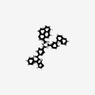 C1=Cc2oc3c(-c4ccc(-c5nc(-c6cccc(-c7cccc8ccccc78)c6)nc(-c6ccc7ccc8cccc9ccc6c7c89)n5)cc4)nc4ccccc4c3c2C1